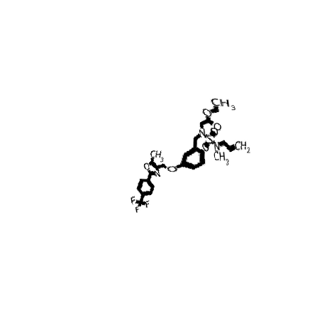 C=CCN(C)S(=O)(=O)N(CC(=O)OCC)Cc1cccc(OCc2nc(-c3ccc(C(F)(F)F)cc3)oc2C)c1